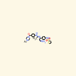 C=C(/N=C(\C=C/N)c1ccc(NS(=O)(=O)C2CC=CS2)cc1)Nc1ccc(C(=O)N2CCN(C(C)=O)CC2)cc1